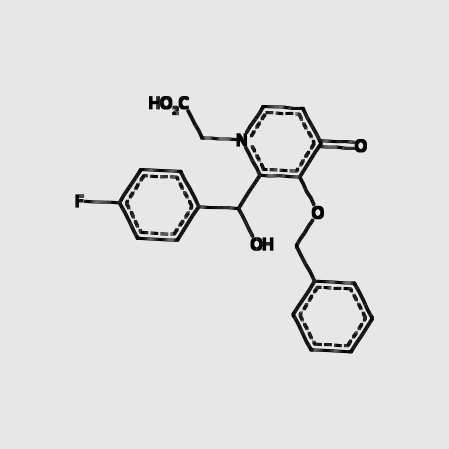 O=C(O)Cn1ccc(=O)c(OCc2ccccc2)c1C(O)c1ccc(F)cc1